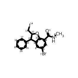 CNC(=O)c1cc(Br)cc2c1OC(CI)C2c1ccccc1